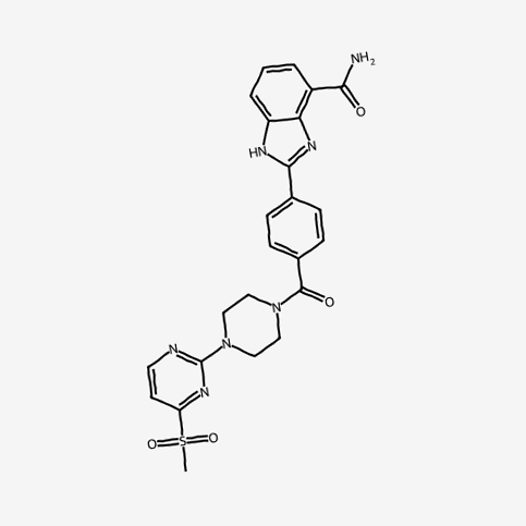 CS(=O)(=O)c1ccnc(N2CCN(C(=O)c3ccc(-c4nc5c(C(N)=O)cccc5[nH]4)cc3)CC2)n1